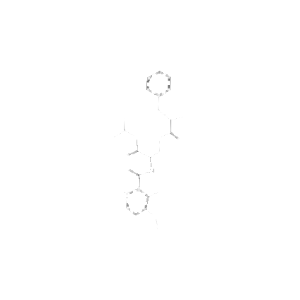 COc1ccnc(C(=O)NC(COC(=O)C(C)Cc2ccccc2)C(=O)OC(C)C)c1O